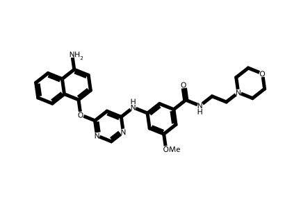 COc1cc(Nc2cc(Oc3ccc(N)c4ccccc34)ncn2)cc(C(=O)NCCN2CCOCC2)c1